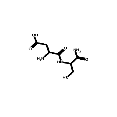 NC(=O)C(CS)NC(=O)C(N)CC(=O)O